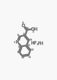 F.F.O=C(O)c1cnc2ccccc2c1